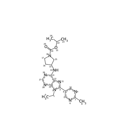 CCn1c(-c2cnc(C)nc2)nc2c(NC3CCN(C(=O)OC(C)C)C3)ncnc21